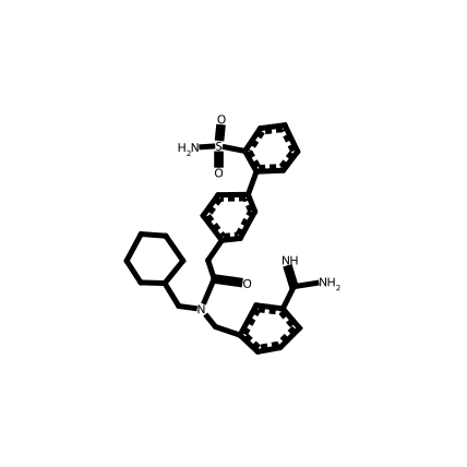 N=C(N)c1cccc(CN(CC2CCCCC2)C(=O)Cc2ccc(-c3ccccc3S(N)(=O)=O)cc2)c1